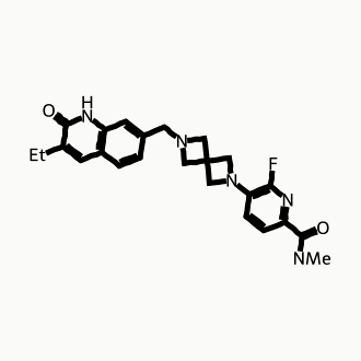 CCc1cc2ccc(CN3CC4(C3)CN(c3ccc(C(=O)NC)nc3F)C4)cc2[nH]c1=O